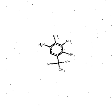 CCCC(C)(CCC)c1cc(N)c(N)c(N)c1N